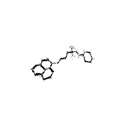 CC(C)(CCCCC1C=Cc2cccc3cccc1c23)COC1CCCCO1